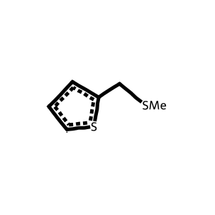 CSCc1cc[c]s1